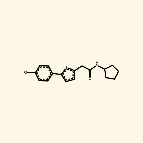 O=C(Cc1ccc(-c2ccc(Cl)cc2)s1)NC1CCCC1